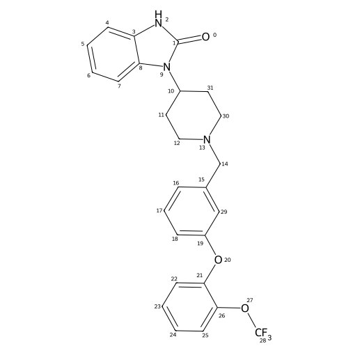 O=c1[nH]c2ccccc2n1C1CCN(Cc2cccc(Oc3ccccc3OC(F)(F)F)c2)CC1